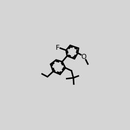 CCc1ccc(-c2cc(OC)ccc2F)c(CC(C)(C)C)c1